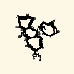 C1COCCN1.Cc1ccc2nc3ccccc3nc2c1